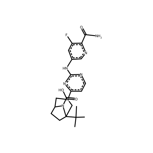 CC(C)(C)C12CCC(CN(c3ccnc(Nc4cnc(C(N)=O)c(F)c4)n3)C1)N2C(=O)O